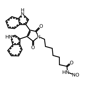 O=NNC(=O)CCCCCCN1C(=O)C(c2c[nH]c3ccccc23)=C(c2c[nH]c3ccccc23)C1=O